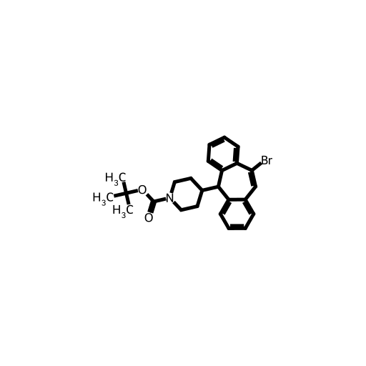 CC(C)(C)OC(=O)N1CCC(C2c3ccccc3C=C(Br)c3ccccc32)CC1